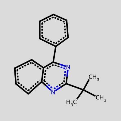 CC(C)(C)c1nc(-c2ccccc2)c2ccccc2n1